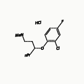 CCCC(CCNC)Oc1ccc(F)cc1Cl.Cl